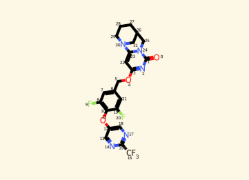 O=c1nc(OCc2cc(F)c(Oc3cnc(C(F)(F)F)nc3)c(F)c2)cc2n1CC1CCCN2C1